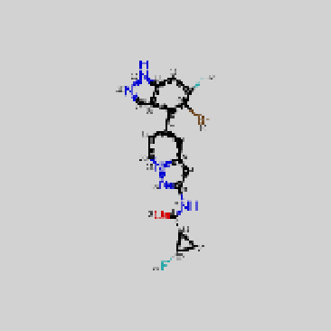 O=C(Nc1cc2cc(-c3c(Br)c(F)cc4[nH]ncc34)ccn2n1)[C@@H]1C[C@@H]1F